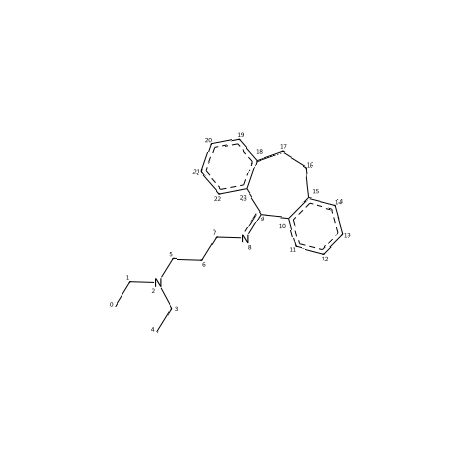 CCN(CC)CCCN=C1c2ccccc2CCc2ccccc21